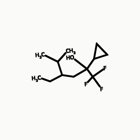 CCC(CC(O)(C1CC1)C(F)(F)F)C(C)C